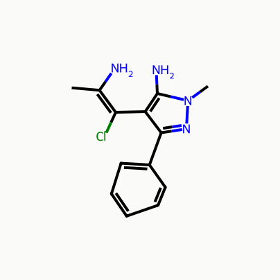 C/C(N)=C(\Cl)c1c(-c2ccccc2)nn(C)c1N